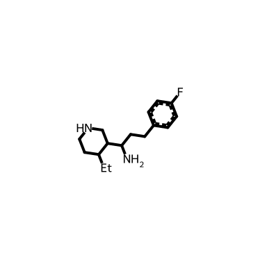 CCC1CCNCC1C(N)CCc1ccc(F)cc1